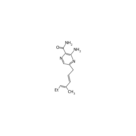 CCC=C(C)C=CCc1cnc(C(N)=O)c(N)n1